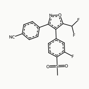 CS(=O)(=O)c1ccc(-c2c(-c3ccc(C#N)cc3)noc2C(F)F)cc1F